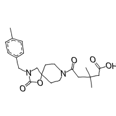 Cc1ccc(CN2CC3(CCN(C(=O)CC(C)(C)CC(=O)O)CC3)OC2=O)cc1